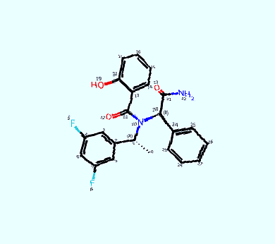 C[C@H](c1cc(F)cc(F)c1)N(C(=O)c1ccccc1O)[C@@H](C(N)=O)c1ccccc1